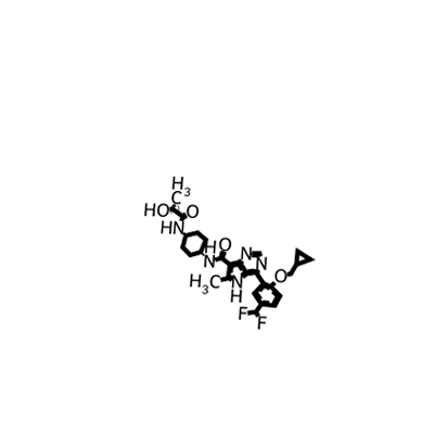 Cc1[nH]c2c(-c3cc(C(F)F)ccc3OCC3CC3)ncnc2c1C(=O)N[C@H]1CC[C@H](NC(=O)[C@H](C)O)CC1